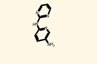 Nc1ccc(Nc2ncccn2)nc1